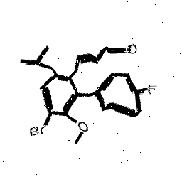 COc1c(Br)cc(C(C)C)c(C=CC=O)c1-c1ccc(F)cc1